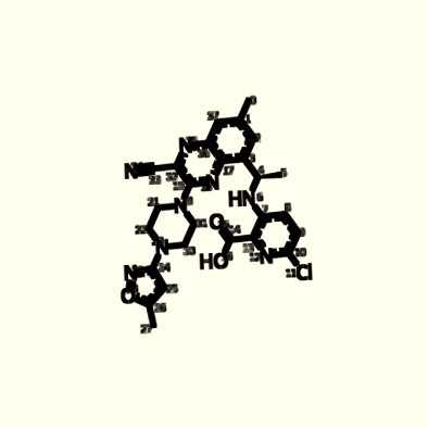 Cc1cc([C@@H](C)Nc2ccc(Cl)nc2C(=O)O)c2nc(N3CCN(c4cc(C)on4)CC3)c(C#N)nc2c1